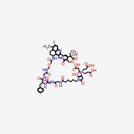 CC[C@@]1(O)C(=O)OCc2c1cc1n(c2=O)Cc2c-1nc1cc(F)c(C)c3c1c2[C@@H](NC(=O)COCNC(=O)CNC(=O)C(Cc1ccccc1)NC(=O)CNC(=O)CNC(=O)CCCCCN1C(=O)CC([PH](CCC(=O)O)(CCC(=O)O)CCC(=O)O)=C1O)CC3